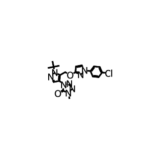 Cn1nnn(-c2cnn(C(C)(C)C)c2COc2ccn(-c3ccc(Cl)cc3)n2)c1=O